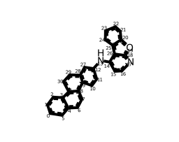 c1ccc2c(c1)ccc1c3ccc(Nc4ccnc5oc6ccccc6c45)cc3ccc21